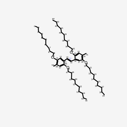 CCCCCCCCCCOc1cc(/C=C/c2cc(OCCCCCCCCCC)c(C)cc2OCCCCCCCCCC)c(OCCCCCCCCCC)cc1C